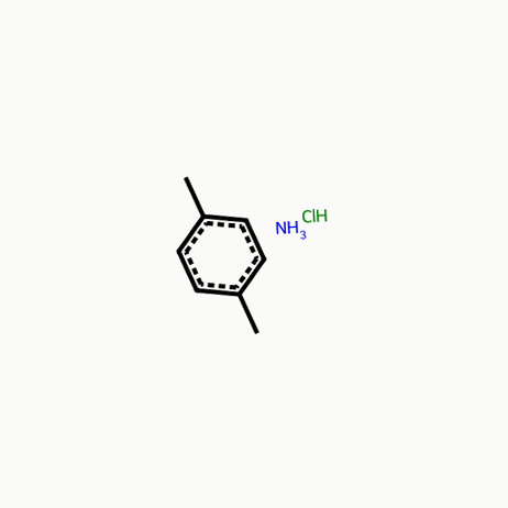 Cc1ccc(C)cc1.Cl.N